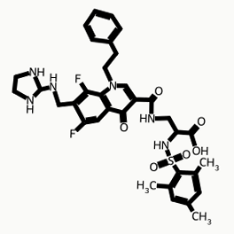 Cc1cc(C)c(S(=O)(=O)NC(CNC(=O)c2cn(CCc3ccccc3)c3c(F)c(CNC4NCCN4)c(F)cc3c2=O)C(=O)O)c(C)c1